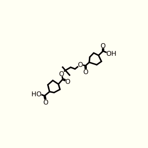 CC(C)(CCOC(=O)C1CCC(C(=O)O)CC1)OC(=O)C1CCC(C(=O)O)CC1